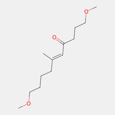 COCCCC/C(C)=C/C(=O)CCCOC